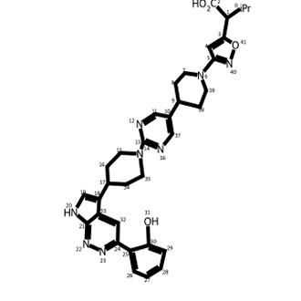 CC(C)C(C(=O)O)c1cc(N2CCC(c3cnc(N4CCC(c5c[nH]c6nnc(-c7ccccc7O)cc56)CC4)nc3)CC2)no1